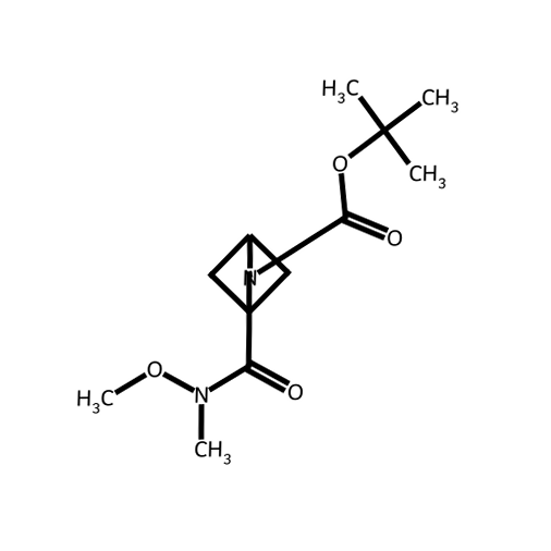 CON(C)C(=O)C12CC(C1)N(C(=O)OC(C)(C)C)C2